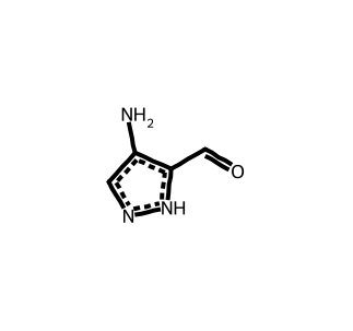 Nc1cn[nH]c1C=O